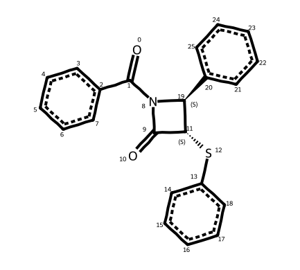 O=C(c1ccccc1)N1C(=O)[C@@H](Sc2ccccc2)[C@@H]1c1ccccc1